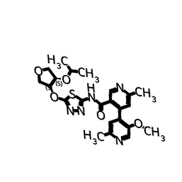 COc1cnc(C)cc1-c1cc(C)ncc1C(=O)Nc1nnc(O[C@H]2COC[C@@H]2OC(C)C)s1